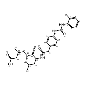 Cc1ccccc1NC(=O)Nc1ccc(CC(=O)NC(CC(C)C)C(=O)NC[C@H](C)CC(=O)O)cc1